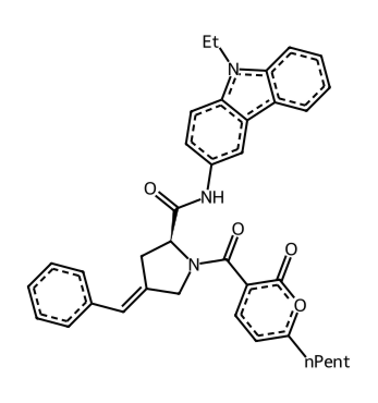 CCCCCc1ccc(C(=O)N2CC(=Cc3ccccc3)C[C@H]2C(=O)Nc2ccc3c(c2)c2ccccc2n3CC)c(=O)o1